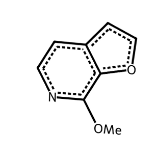 COc1nccc2ccoc12